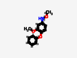 CONc1ccc(Oc2ccccc2)c(OC)c1